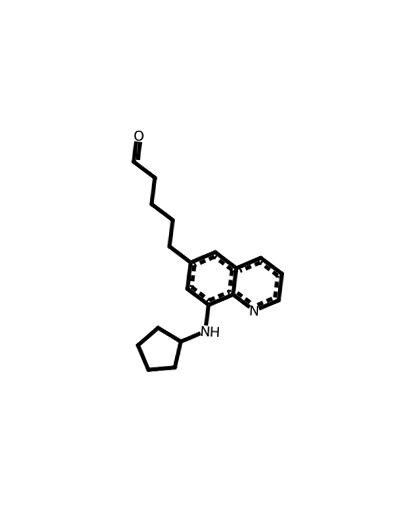 O=CCCCCc1cc(NC2CCCC2)c2ncccc2c1